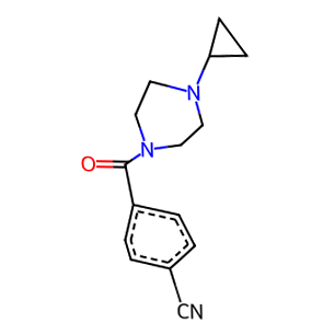 N#Cc1ccc(C(=O)N2CCN(C3CC3)CC2)cc1